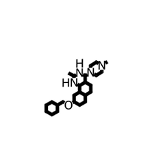 CC1NC2C3CC(OCC4CCCCC4)CCC3CCC2C(N2CCN(C)CC2)N1